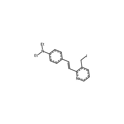 CCN(CC)c1ccc(C=Cc2ncccc2CI)cc1